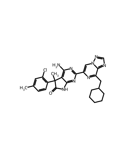 Cc1ccc(C2(C)C(=O)Nc3nc(-c4cn5ncnc5c(CC5CCCCC5)n4)nc(N)c32)c(Cl)c1